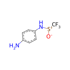 Nc1ccc(N[S+]([O-])C(F)(F)F)cc1